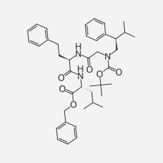 CC(C)C[C@@H](NC(=O)[C@@H](CCc1ccccc1)NC(=O)CN(C[C@@H](c1ccccc1)C(C)C)C(=O)OC(C)(C)C)C(=O)OCc1ccccc1